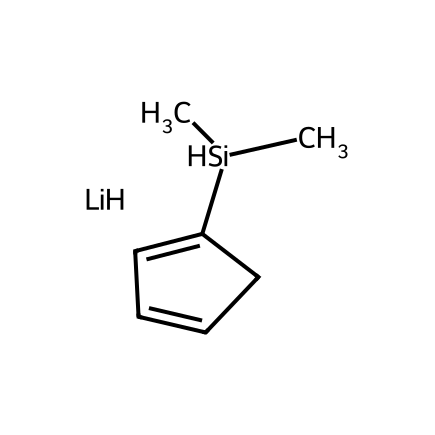 C[SiH](C)C1=CC=CC1.[LiH]